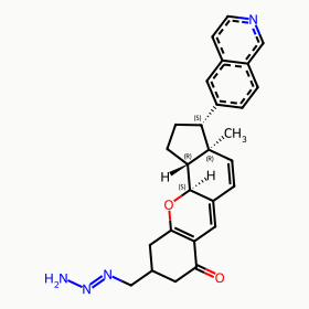 C[C@]12C=CC3=CC4=C(CC(CN=NN)CC4=O)O[C@H]3[C@@H]1CC[C@@H]2c1ccc2cnccc2c1